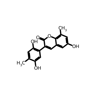 Cc1cc(O)c(-c2cc3cc(O)cc(C)c3oc2=O)cc1O